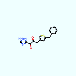 O=C(Cc1csc(Cc2ccccc2)c1)C(=O)c1nc[nH]n1